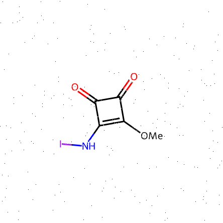 COc1c(NI)c(=O)c1=O